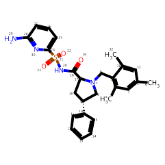 Cc1cc(C)c(CN2C[C@H](c3ccccc3)CC2C(=O)NS(=O)(=O)c2cccc(N)n2)c(C)c1